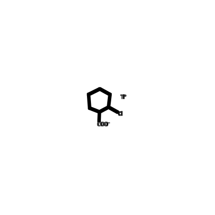 O=C([O-])C1CCCCC1Cl.[Tl+]